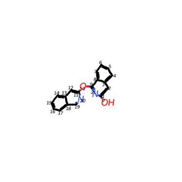 Oc1cc2ccccc2c(Oc2cc3ccccc3cn2)n1